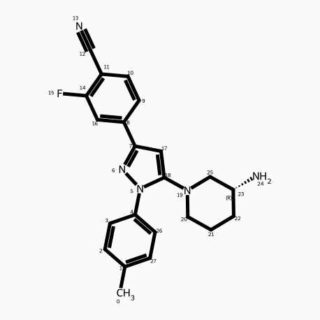 Cc1ccc(-n2nc(-c3ccc(C#N)c(F)c3)cc2N2CCC[C@@H](N)C2)cc1